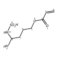 C=CC(=O)OCCCC(CCC)NS(=O)(=O)O